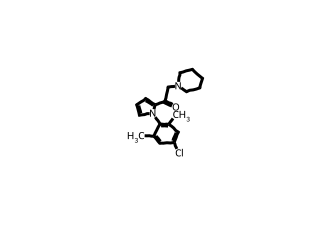 Cc1cc(Cl)cc(C)c1-n1cccc1C(=O)CN1CCCCC1